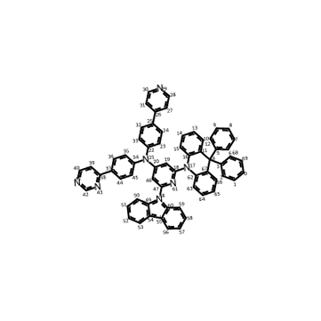 c1ccc(C2(c3ccccc3)c3ccccc3N(c3cc(N(c4ccc(-c5ccncc5)cc4)c4ccc(-c5ccncn5)cc4)cc(-n4c5ccccc5c5ccccc54)n3)c3ccccc32)cc1